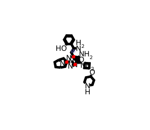 N/C(=C\c1c(N)c(N)nn1C1CC2CCC(C1)N2c1ncc(OC2CC(OC3CCNCC3)C2)cn1)c1ccccc1O